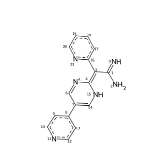 N=C(N)/C(=C1/N=CC(c2ccncc2)=CN1)c1ccccn1